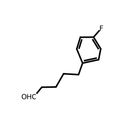 O=CCCCCc1ccc(F)cc1